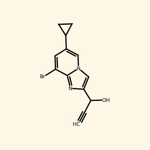 C#CC(O)c1cn2cc(C3CC3)cc(Br)c2n1